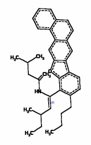 C=C(CC(C)C)N/C(=C\C(C)CC)c1c(CCCC)ccc2c1oc1cc3c(ccc4ccccc43)cc12